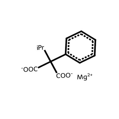 CC(C)C(C(=O)[O-])(C(=O)[O-])c1ccccc1.[Mg+2]